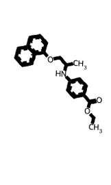 CCOC(=O)c1ccc(NC(C)COc2cccc3ccccc23)cc1